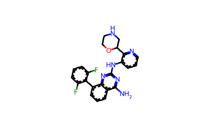 Nc1nc(Nc2cccnc2C2CNCCO2)nc2c(-c3c(F)cccc3F)cccc12